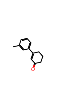 Cc1cccc(C2=CC(=O)CCC2)c1